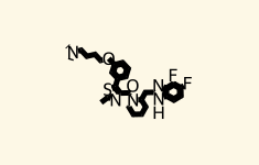 Cc1nc(C(=O)N2CCCCC2Cc2nc3c(F)c(F)ccc3[nH]2)c(-c2cccc(OCCCCN(C)C)c2)s1